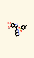 COc1cc2c(-c3cc4cccnc4n3S(=O)(=O)c3ccc(C)cc3)c[nH]c2cc1O